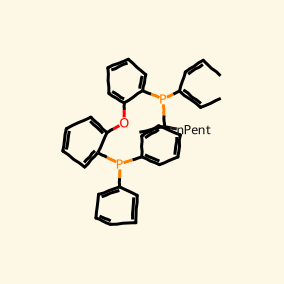 C/C=C\C(=C/C)P(c1ccccc1Oc1ccccc1P(c1ccccc1)c1ccccc1)C(C)CCCCC